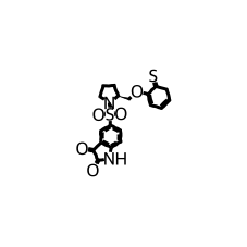 O=C1Nc2ccc(S(=O)(=O)N3CCC[C@H]3COC3=CC=CCC3=S)cc2C1=O